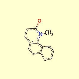 Cn1c(=O)ccc2ccc3ccccc3c21